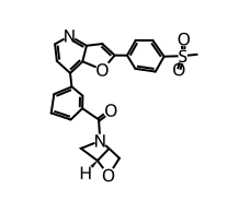 CS(=O)(=O)c1ccc(-c2cc3nccc(-c4cccc(C(=O)N5C[C@H]6OCC65)c4)c3o2)cc1